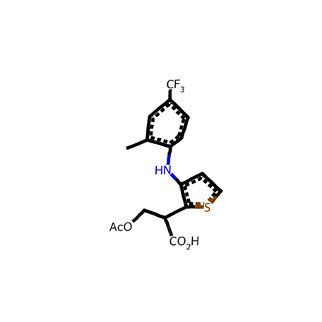 CC(=O)OCC(C(=O)O)c1sccc1Nc1ccc(C(F)(F)F)cc1C